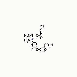 Cc1nc(/C(N)=C(\COC(=O)N(C)CC2CCC2)N(C)N)ccc1OC1CCOC(C(=O)O)C1